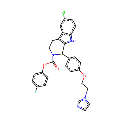 O=C(Oc1ccc(F)cc1)N1CCc2c([nH]c3ccc(Cl)cc23)C1c1ccc(OCCn2ccnc2)cc1